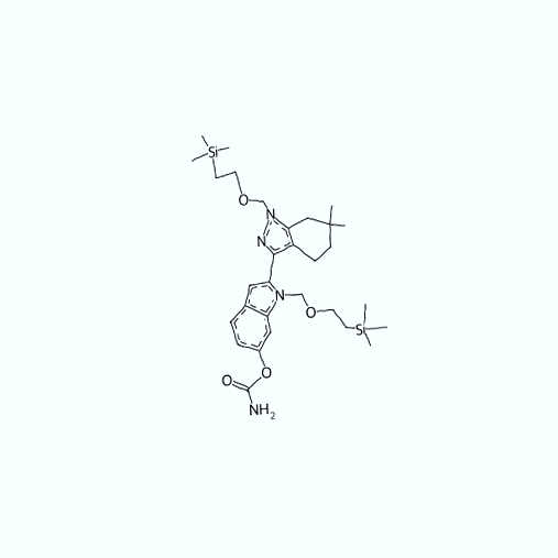 CC1(C)CCc2c(-c3cc4ccc(OC(N)=O)cc4n3COCC[Si](C)(C)C)nn(COCC[Si](C)(C)C)c2C1